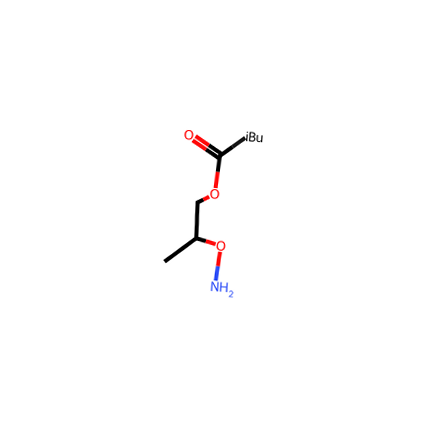 CCC(C)C(=O)OCC(C)ON